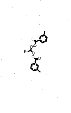 [CH2]C[C](OOC(=O)c1cccc(C)c1)OOC(=O)c1cccc(C)c1